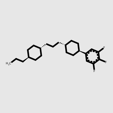 CCC[C@H]1CC[C@H](CCC[C@H]2CC[C@H](c3cc(F)c(F)c(F)c3)CC2)CC1